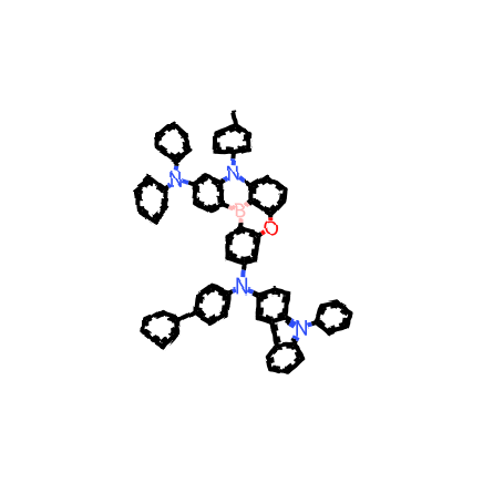 Cc1ccc(N2c3cc(N(c4ccccc4)c4ccccc4)ccc3B3c4ccc(N(c5ccc(-c6ccccc6)cc5)c5ccc6c(c5)c5ccccc5n6-c5ccccc5)cc4Oc4cccc2c43)cc1